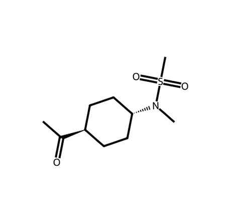 CC(=O)[C@H]1CC[C@H](N(C)S(C)(=O)=O)CC1